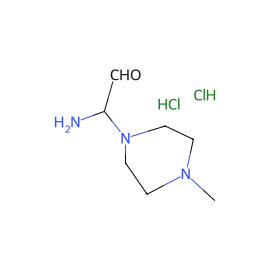 CN1CCN(C(N)C=O)CC1.Cl.Cl